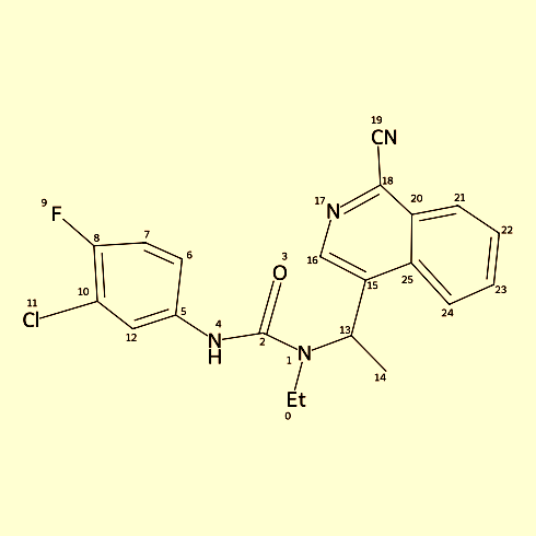 CCN(C(=O)Nc1ccc(F)c(Cl)c1)C(C)c1cnc(C#N)c2ccccc12